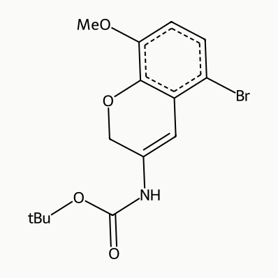 COc1ccc(Br)c2c1OCC(NC(=O)OC(C)(C)C)=C2